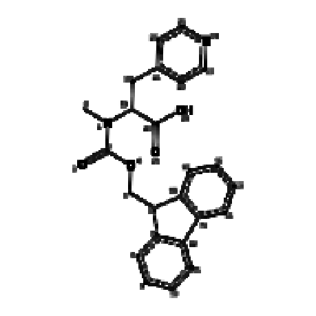 CN(C(=O)OCC1c2ccccc2-c2ccccc21)C(Cc1ccncc1)C(=O)O